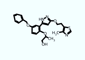 Cc1ncsc1CCOc1cc(-c2cc(OCc3ccccc3)ccc2OC(C)CO)[nH]n1